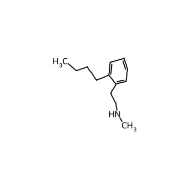 CCCCc1ccccc1CCNC